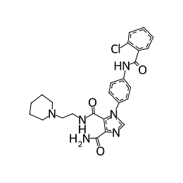 NC(=O)c1ncn(-c2ccc(NC(=O)c3ccccc3Cl)cc2)c1C(=O)NCCN1CCCCC1